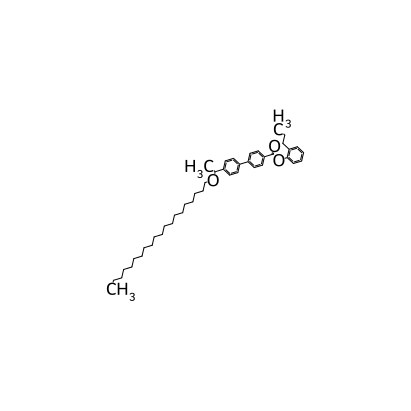 CCCCCCCCCCCCCCCCCCCCOC(C)c1ccc(-c2ccc(C(=O)Oc3ccccc3CCC)cc2)cc1